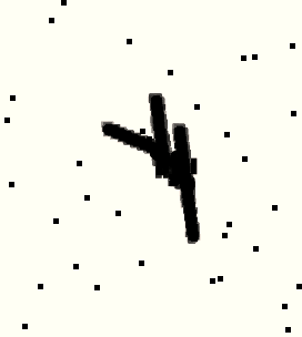 CCCCCCCCCCCCCCCOC(CCCCCCCCCCCCCC)S[PH](=S)SCNC(=O)C(Br)CS[PH](=S)SC(CCCCCCCCCCCCCC)OCCCCCCCCCCCCCCC